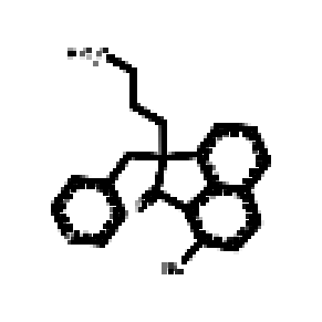 CCOC(=O)CCCC1(Cc2ccncc2)C(=O)c2c(C#N)ccc3cccc1c23